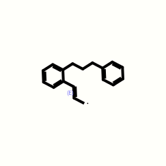 [CH2]/C=C/c1ccccc1CCCc1ccccc1